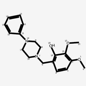 COc1ccc(CN2CCN(c3ccccc3)CC2)c(O)c1OC